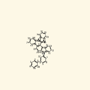 c1ccc(-c2cccc(-n3c4ccccc4c4c5c(ccc43)c3ccccc3n3c4ccccc4nc53)c2)cc1